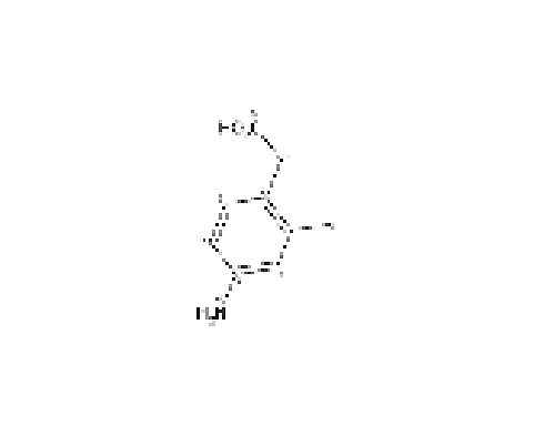 Cc1cc(N)ccc1CC(=O)O